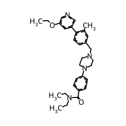 CCOc1cncc(-c2ccc(CN3CCN(c4ccc(C(=O)N(CC)CC)cc4)CC3)cc2C)c1